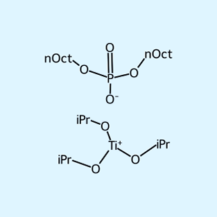 CC(C)[O][Ti+]([O]C(C)C)[O]C(C)C.CCCCCCCCOP(=O)([O-])OCCCCCCCC